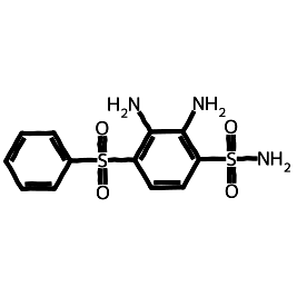 Nc1c(S(N)(=O)=O)ccc(S(=O)(=O)c2ccccc2)c1N